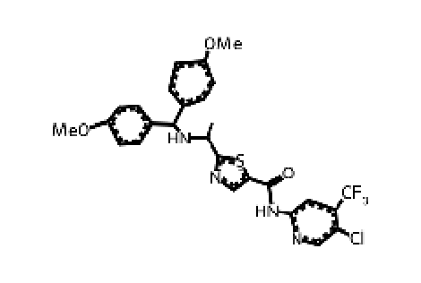 COc1ccc(C(NC(C)c2ncc(C(=O)Nc3cc(C(F)(F)F)c(Cl)cn3)s2)c2ccc(OC)cc2)cc1